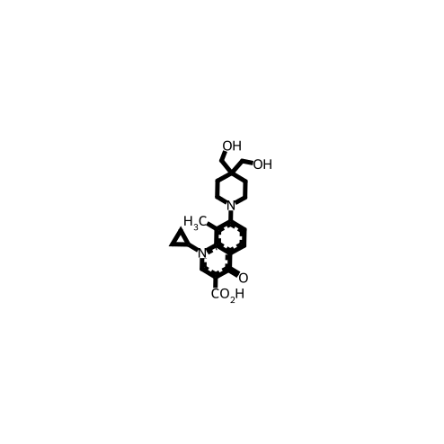 Cc1c(N2CCC(CO)(CO)CC2)ccc2c(=O)c(C(=O)O)cn(C3CC3)c12